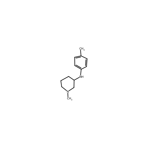 Cc1ccc(NC2CCCN(C)C2)cc1